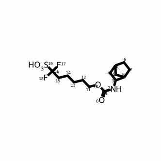 O=C(NC1CC2CCC1C2)OCCCCCC(F)(F)S(=O)(=O)O